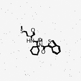 CSCC[C@@H](C=O)NC(=O)C1(NC(=O)c2scc3ccccc23)CCCCC1